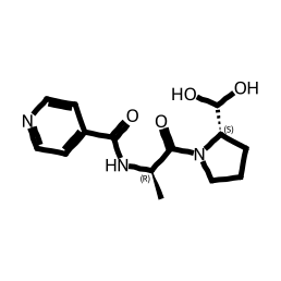 C[C@@H](NC(=O)c1ccncc1)C(=O)N1CCC[C@H]1C(O)O